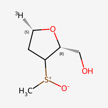 [3H][C@H]1CC([S+](C)[O-])[C@@H](CO)O1